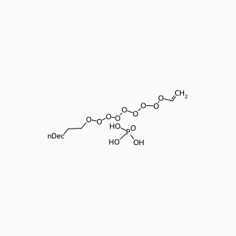 C=COOOOOOOOOCCCCCCCCCCCC.O=P(O)(O)O